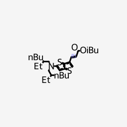 CCCCC(CC)CN(CC(CC)CCCC)c1cc2scc(/C=C/C(=O)OCC(C)C)c2s1